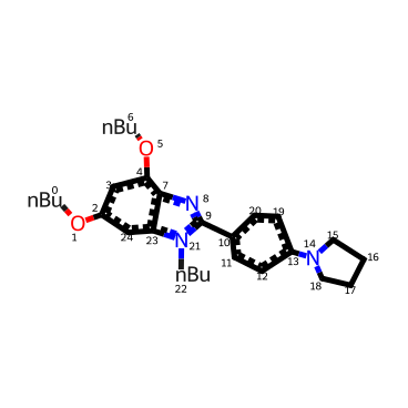 CCCCOc1cc(OCCCC)c2nc(-c3ccc(N4CCCC4)cc3)n(CCCC)c2c1